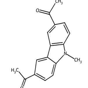 CC(=O)c1ccc2c(c1)c1cc(C(C)=O)ccc1n2C